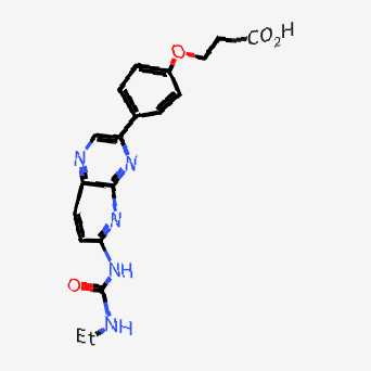 CCNC(=O)Nc1ccc2ncc(-c3ccc(OCCC(=O)O)cc3)nc2n1